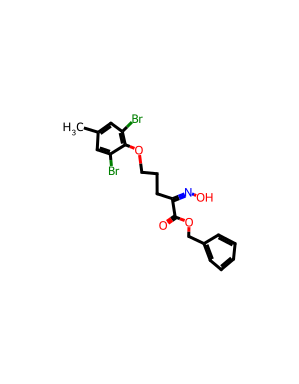 Cc1cc(Br)c(OCCCC(=NO)C(=O)OCc2ccccc2)c(Br)c1